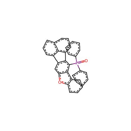 O=P(c1ccccc1)(c1ccccc1)c1c2c(cc3oc4ccccc4c13)-c1cccc3cccc-2c13